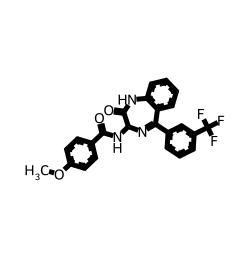 COc1ccc(C(=O)NC2N=C(c3cccc(C(F)(F)F)c3)c3ccccc3NC2=O)cc1